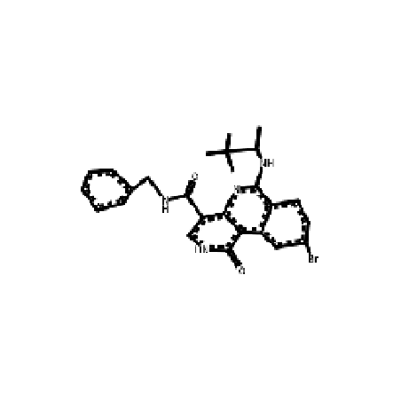 CC(Nc1nc2c(C(=O)NCc3ccccc3)c[nH]c(=O)c2c2cc(Br)ccc12)C(C)(C)C